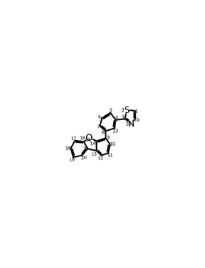 [c]1csc(-c2cccc(-c3cccc4c3oc3ccccc34)c2)n1